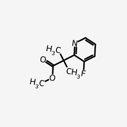 COC(=O)C(C)(C)c1ncccc1F